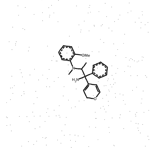 COc1ccccc1N(C)C(C)C(N)(C1=CCOC=C1)c1ccccc1